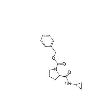 O=C(NC1CC1)[C@H]1CCCN1C(=O)OCc1ccccc1